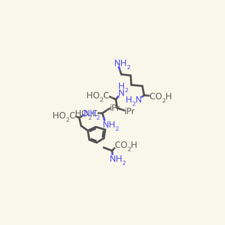 CC(C)C(N)C(=O)O.CC(C)CC(N)C(=O)O.CC(N)C(=O)O.NC(Cc1ccccc1)C(=O)O.NCCCCC(N)C(=O)O